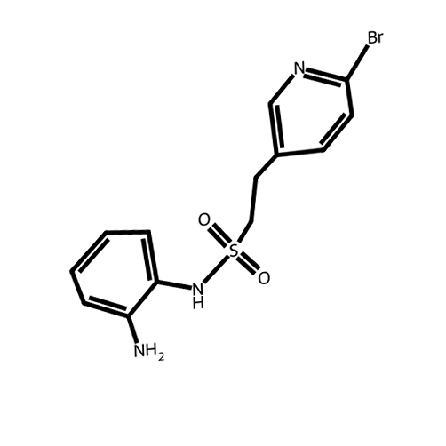 Nc1ccccc1NS(=O)(=O)CCc1ccc(Br)nc1